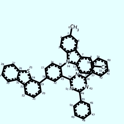 Cc1ccc2c(c1)c1cc(C)ccc1n2-c1ccc(-c2cccc3c2sc2ccccc23)cc1-c1nc(-c2ccccc2)nc(-c2ccccc2)n1